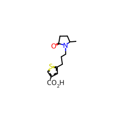 CC1CCC(=O)N1CCCc1cc(C(=O)O)cs1